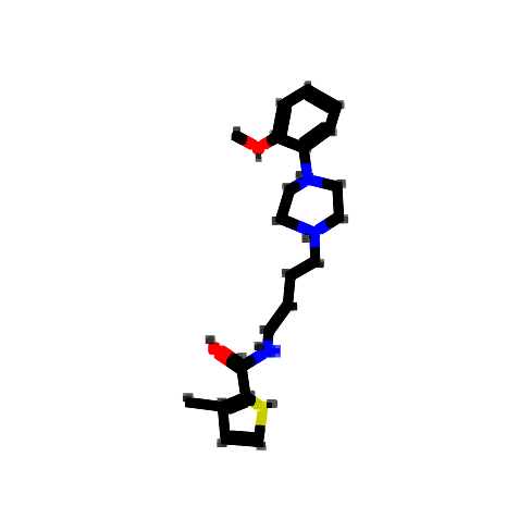 COc1ccccc1N1CCN(CCCCNC(=O)c2sccc2C)CC1